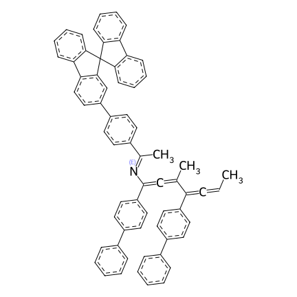 CC=C=C(C(C)=C=C(/N=C(\C)c1ccc(-c2ccc3c(c2)C2(c4ccccc4-c4ccccc42)c2ccccc2-3)cc1)c1ccc(-c2ccccc2)cc1)c1ccc(-c2ccccc2)cc1